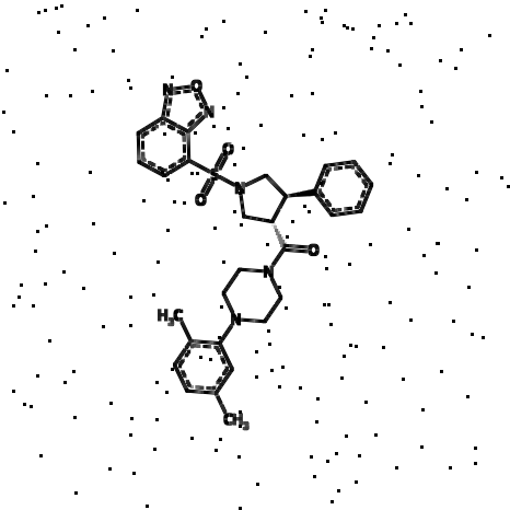 Cc1ccc(C)c(N2CCN(C(=O)[C@@H]3CN(S(=O)(=O)c4cccc5nonc45)C[C@H]3c3ccccc3)CC2)c1